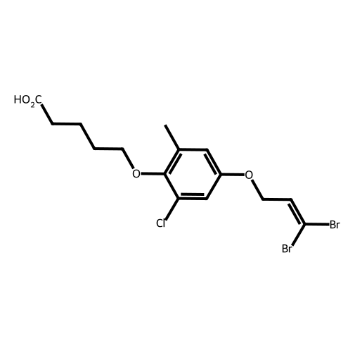 Cc1cc(OCC=C(Br)Br)cc(Cl)c1OCCCCC(=O)O